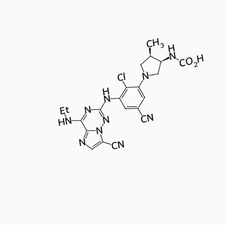 CCNc1nc(Nc2cc(C#N)cc(N3C[C@@H](C)[C@@H](NC(=O)O)C3)c2Cl)nn2c(C#N)cnc12